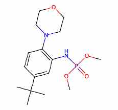 COP(=O)(Nc1cc(C(C)(C)C)ccc1N1CCOCC1)OC